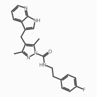 Cc1nn(C(=O)NCCc2ccc(F)cc2)c(C)c1Cc1c[nH]c2ncccc12